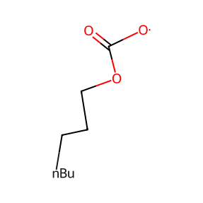 [CH2]CCCCCCOC([O])=O